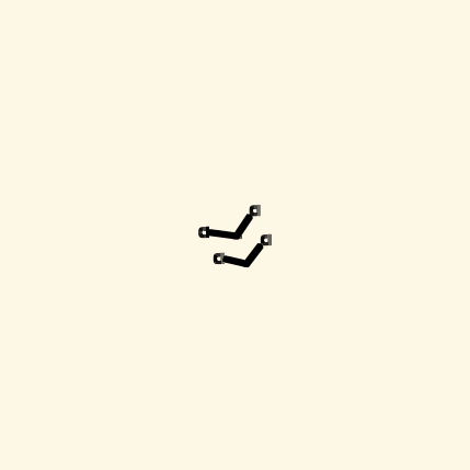 ClCCl.Cl[C]Cl